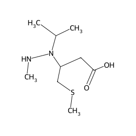 CNN(C(C)C)C(CSC)CC(=O)O